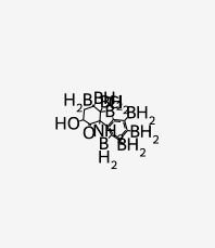 Bc1c(B)c(B)c2c(c1B)B(Cl)C1(B)C(B)(B)CC(O)C(=O)C21N